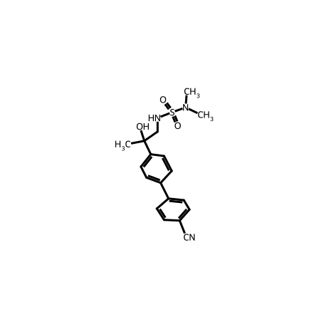 CN(C)S(=O)(=O)NCC(C)(O)c1ccc(-c2ccc(C#N)cc2)cc1